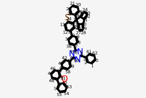 c1ccc(-c2nc(-c3ccc(-c4ccc5c(c4)C4(c6ccccc6S5)c5ccccc5-c5ccccc54)cc3)nc(-c3ccc(-c4cccc5c4oc4ccccc45)cc3)n2)cc1